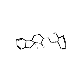 OC1C=CC=CC1CC[C@H]1CCC2C3C=CC=CC3C[C@@H]2C1Cl